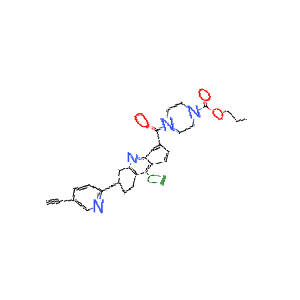 C#Cc1ccc(C2CCc3c(nc4cc(C(=O)N5CCN(C(=O)OCCC)CC5)ccc4c3Cl)C2)nc1